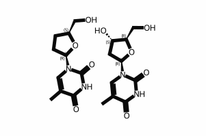 Cc1cn([C@H]2CC[C@@H](CO)O2)c(=O)[nH]c1=O.Cc1cn([C@H]2C[C@H](O)[C@@H](CO)O2)c(=O)[nH]c1=O